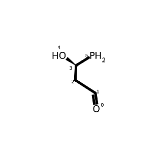 O=CC[C@@H](O)P